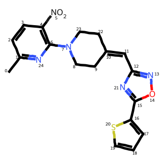 Cc1ccc([N+](=O)[O-])c(N2CCC(=Cc3noc(-c4cccs4)n3)CC2)n1